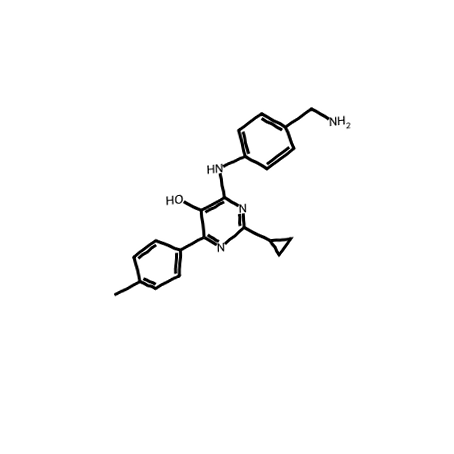 Cc1ccc(-c2nc(C3CC3)nc(Nc3ccc(CN)cc3)c2O)cc1